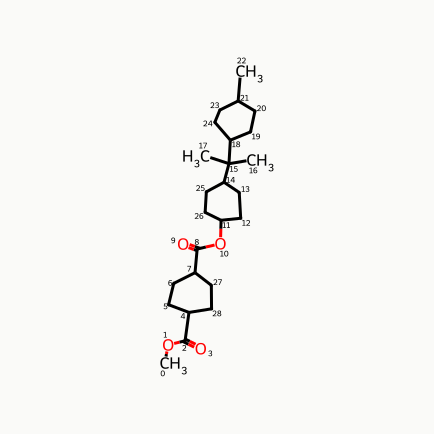 COC(=O)C1CCC(C(=O)OC2CCC(C(C)(C)C3CCC(C)CC3)CC2)CC1